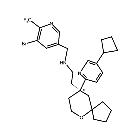 FC(F)(F)c1ncc(CNCC[C@@]2(c3ccc(C4CCC4)cn3)CCOC3(CCCC3)C2)cc1Br